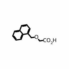 O=C(O)COCc1cccc2ccccc12